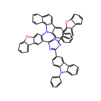 c1ccc(-n2c3ccccc3c3cc(-c4nc(-c5ccc6c(c5)oc5ccccc56)nc(-c5cc6c(cc5-n5c7cc8ccccc8cc7c7ccc8ccccc8c75)oc5ccccc56)n4)ccc32)cc1